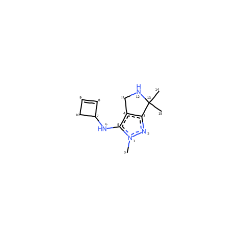 Cn1nc2c(c1NC1C=CC1)CNC2(C)C